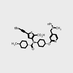 CCCN(C)Cc1ccnc(O[C@H]2CC[C@H](N(c3cc(C#CC(C)(C)C)sc3C(=O)O)C(=O)[C@H]3CC[C@H](C)CC3)CC2)c1